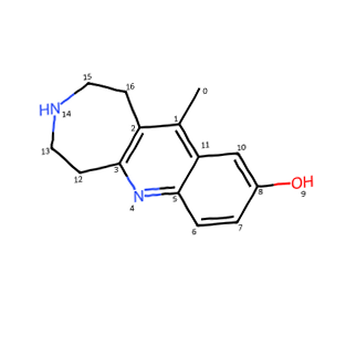 Cc1c2c(nc3ccc(O)cc13)CCNCC2